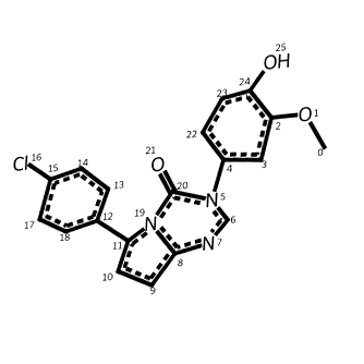 COc1cc(-n2cnc3ccc(-c4ccc(Cl)cc4)n3c2=O)ccc1O